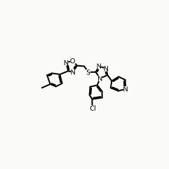 Cc1ccc(-c2noc(CSc3nnc(-c4ccncc4)n3-c3ccc(Cl)cc3)n2)cc1